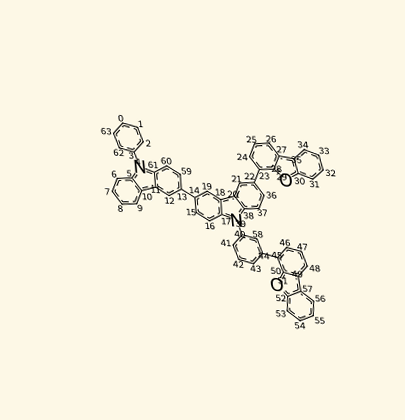 c1ccc(-n2c3ccccc3c3cc(-c4ccc5c(c4)c4cc(-c6cccc7c6oc6ccccc67)ccc4n5-c4cccc(-c5cccc6c5oc5ccccc56)c4)ccc32)cc1